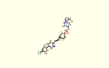 CN1CCN(CCOc2ccc(C#Cc3ccc(-c4ccc(Cl)cc4)cn3)cc2)CC1